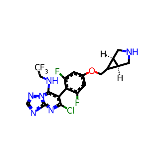 Fc1cc(OCC2[C@H]3CNC[C@@H]23)cc(F)c1-c1c(Cl)nc2ncnn2c1NCC(F)(F)F